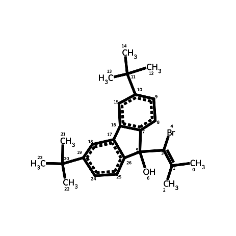 CC(C)=C(Br)C1(O)c2ccc(C(C)(C)C)cc2-c2cc(C(C)(C)C)ccc21